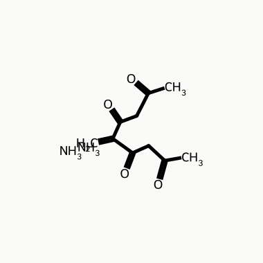 C=C(C(=O)CC(C)=O)C(=O)CC(C)=O.N.N